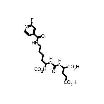 O=C(O)CCC(NC(=O)NC(CCCCNC(=O)c1ccnc(F)c1)C(=O)O)C(=O)O